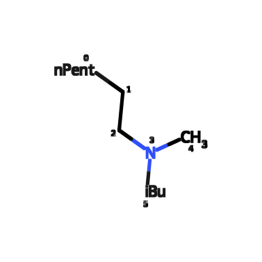 CCCCCCCN(C)C(C)CC